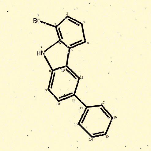 Brc1cccc2c1[nH]c1ccc(-c3ccccc3)cc12